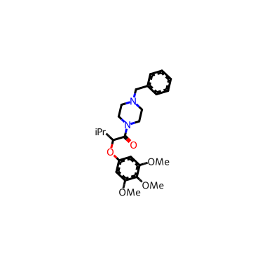 COc1cc(OC(C(=O)N2CCN(Cc3ccccc3)CC2)C(C)C)cc(OC)c1OC